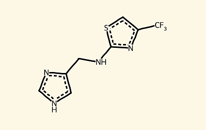 FC(F)(F)c1csc(NCc2c[nH]cn2)n1